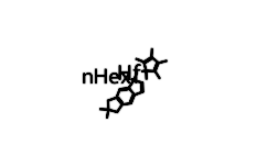 CCCCCC[C]1([Hf][C]2(C)C(C)=C(C)C(C)=C2C)C=Cc2cc3c(cc21)CC(C)(C)C3